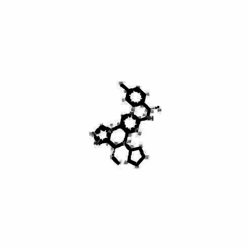 CC[C@@H]1c2nncn2-c2cnc(N[C@@H](C)c3ccc(C)cc3)nc2N1C1CCCC1